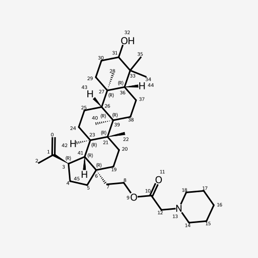 C=C(C)[C@@H]1CC[C@]2(CCOC(=O)CN3CCCCC3)CC[C@]3(C)[C@H](CC[C@@H]4[C@@]5(C)CCC(O)C(C)(C)[C@@H]5CC[C@]43C)[C@@H]12